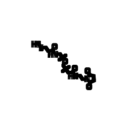 CC(C)(COC(C)(C)CNC(=O)CCSS)CC(=O)NCCN1C(=O)C=CC1=O